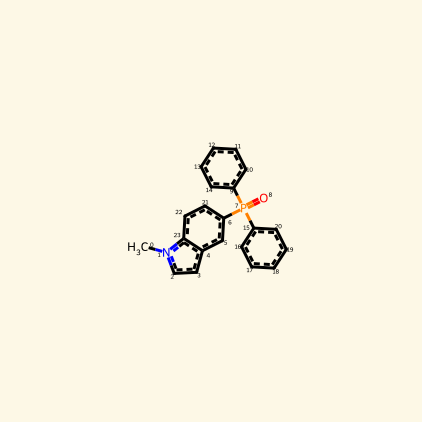 Cn1ccc2cc(P(=O)(c3ccccc3)c3ccccc3)ccc21